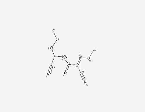 CCOC(C#N)NC(=O)C(C#N)=NOC